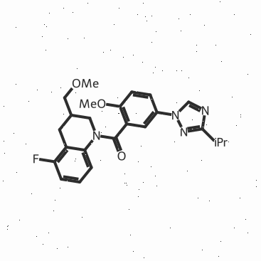 COCC1Cc2c(F)cccc2N(C(=O)c2cc(-n3cnc(C(C)C)n3)ccc2OC)C1